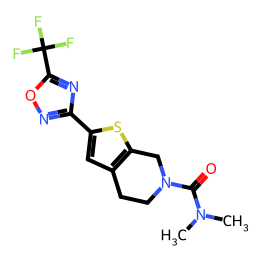 CN(C)C(=O)N1CCc2cc(-c3noc(C(F)(F)F)n3)sc2C1